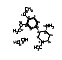 COc1ccc([C@H]2CN(C)CC[C@H]2N)cc1OC.Cl.Cl